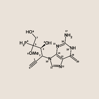 C#CC([C@H](O)C(P)(CO)OC)n1cnc2c1N=C(N)NC2=C